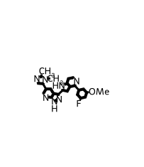 COc1cc(F)cc(-c2nccc3[nH]c(-c4n[nH]c5ncc(-c6cnc(C)n6C)cc45)cc23)c1